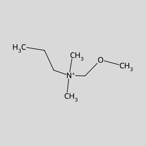 CCC[N+](C)(C)COC